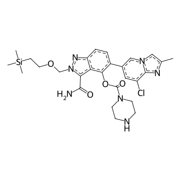 Cc1cn2cc(-c3ccc4nn(COCC[Si](C)(C)C)c(C(N)=O)c4c3OC(=O)N3CCNCC3)cc(Cl)c2n1